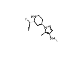 Cc1c(N)cnn1[C@@H]1CCN[C@@H](C(F)F)C1